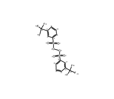 O=S(=O)(OOS(=O)(=O)c1cccc(C(F)(F)F)c1)c1cccc(C(F)(F)F)c1